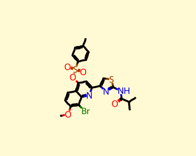 COc1ccc2c(OS(=O)(=O)c3ccc(C)cc3)cc(-c3csc(NC(=O)C(C)C)n3)nc2c1Br